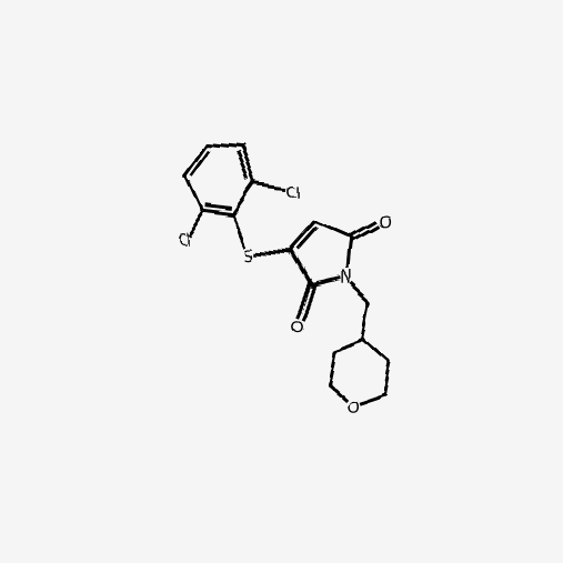 O=C1C=C(Sc2c(Cl)cccc2Cl)C(=O)N1CC1CCOCC1